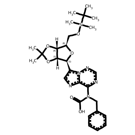 CC1(C)O[C@@H]2[C@H](O1)[C@@H](CO[Si](C)(C)C(C)(C)C)O[C@H]2c1cnc2c(N(Cc3ccccc3)C(=O)O)ncnn12